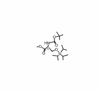 COC(=O)[C@H](CO[Si](C(C)C)(C(C)C)C(C)C)NC(=O)OC(C)(C)C